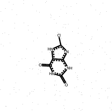 O=c1[nH]c(=O)c2[nH]c(Cl)nc2[nH]1